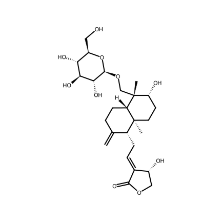 C=C1CC[C@@H]2[C@](C)(CO[C@@H]3O[C@H](CO)[C@@H](O)[C@H](O)[C@H]3O)[C@H](O)CC[C@@]2(C)[C@@H]1C/C=C1/C(=O)OC[C@H]1O